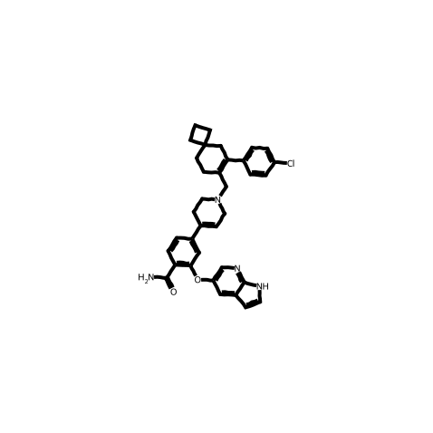 NC(=O)c1ccc(C2=CCN(CC3=C(c4ccc(Cl)cc4)CC4(CCC4)CC3)CC2)cc1Oc1cnc2[nH]ccc2c1